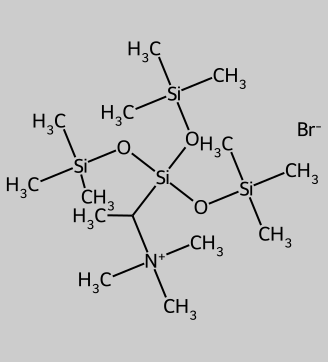 CC([N+](C)(C)C)[Si](O[Si](C)(C)C)(O[Si](C)(C)C)O[Si](C)(C)C.[Br-]